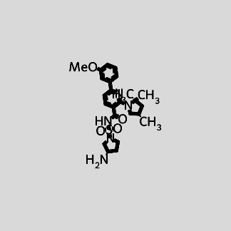 COc1cccc(-c2ccc(C(=O)NS(=O)(=O)N3CC[C@H](N)C3)c(N3C[C@@H](C)CC3(C)C)n2)c1